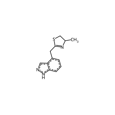 CC1CSC(Cc2cccc3[nH]ncc23)=N1